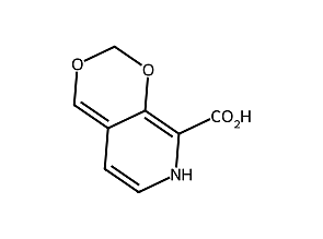 O=C(O)C1=C2OCOC=C2C=CN1